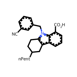 CCCCCC1CCc2c(c3cccc(C(=O)O)c3n2Cc2cccc(C#N)c2)C1